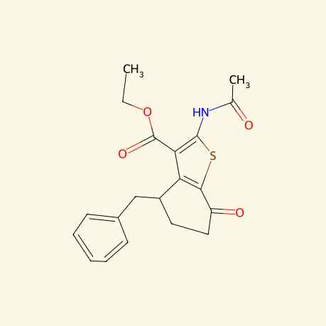 CCOC(=O)c1c(NC(C)=O)sc2c1C(Cc1ccccc1)CCC2=O